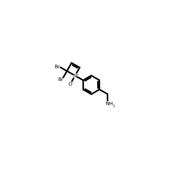 NCc1ccc([N+]2([O-])C=CC2(Br)Br)cc1